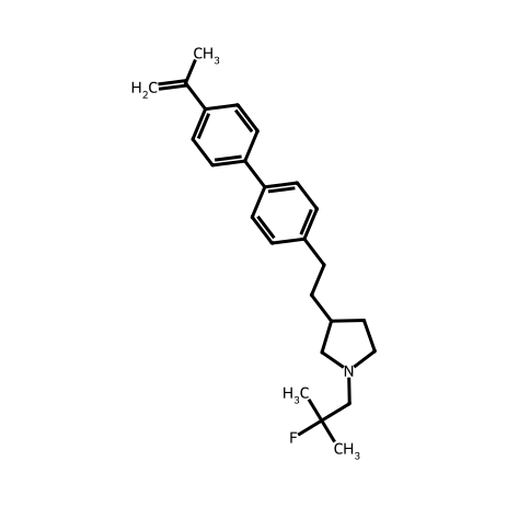 C=C(C)c1ccc(-c2ccc(CCC3CCN(CC(C)(C)F)C3)cc2)cc1